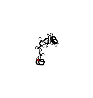 O=C(CC(OC(=O)C(F)(F)S(=O)(=O)O)C(=O)OCC(=O)OC12CC3CC(C1)C(=O)C(C3)C2)OCC(=O)OC12CC3CC(CC(O)(C3)C1)C2